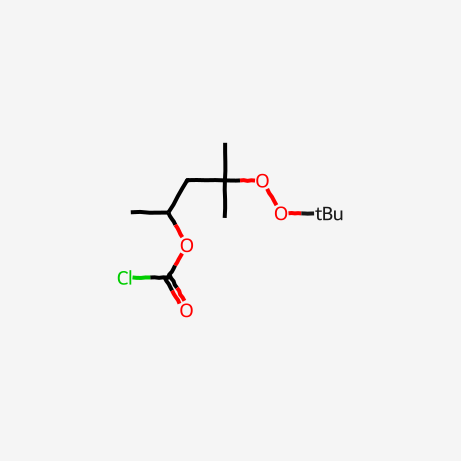 CC(CC(C)(C)OOC(C)(C)C)OC(=O)Cl